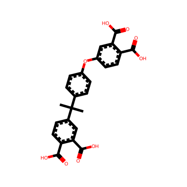 CC(C)(c1ccc(Oc2ccc(C(=O)O)c(C(=O)O)c2)cc1)c1ccc(C(=O)O)c(C(=O)O)c1